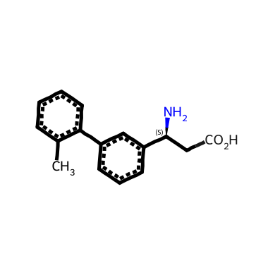 Cc1ccccc1-c1cccc([C@@H](N)CC(=O)O)c1